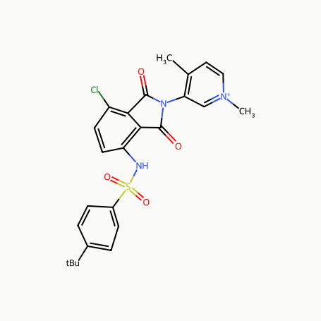 Cc1cc[n+](C)cc1N1C(=O)c2c(Cl)ccc(NS(=O)(=O)c3ccc(C(C)(C)C)cc3)c2C1=O